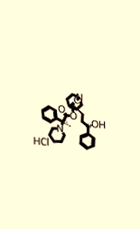 C[C@@](C(=O)O[C@@]1(CC[C@H](O)c2ccccc2)CN2CCC1CC2)(c1ccccc1)N1CCCCC1.Cl